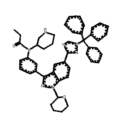 CCC(=O)N(c1cccc(-c2nn(C3CCCCO3)c3ccc(-c4ncn(C(c5ccccc5)(c5ccccc5)c5ccccc5)n4)cc23)c1)C1CCCNC1